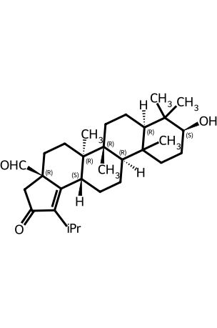 CC(C)C1=C2[C@H]3CC[C@@H]4C5(C)CC[C@H](O)C(C)(C)[C@@H]5CC[C@@]4(C)[C@]3(C)CC[C@@]2(C=O)CC1=O